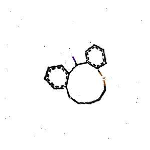 IC1c2ccccc2CCCCCSc2ccccc21